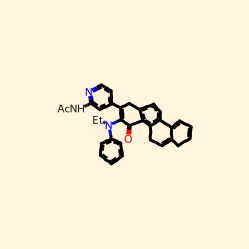 CCN(C1=C(c2ccnc(NC(C)=O)c2)Cc2ccc3c(c2C1=O)CC=C1CC=CC=C13)c1ccccc1